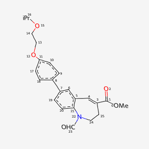 COC(=O)C1=Cc2cc(-c3ccc(OCCOC(C)C)cc3)ccc2N(C=O)CC1